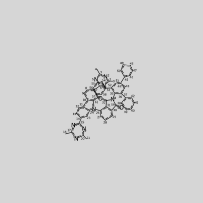 Cc1nc(C)nc(-c2ccc3c4ccc(-c5nc(C)nc(C)n5)cc4n(-c4cccc5c4C(=O)N(c4c(-c6ccccc6)cc(-c6ccccc6)cc4-c4ccccc4)C5=O)c3c2)n1